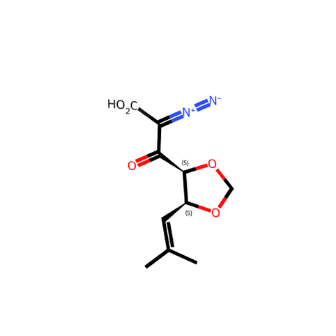 CC(C)=C[C@@H]1OCO[C@@H]1C(=O)C(=[N+]=[N-])C(=O)O